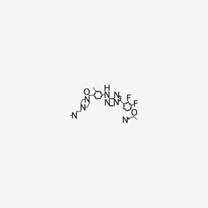 Cc1cc(Nc2nccn3c(-c4ccc(OC(C)C#N)c(F)c4F)cnc23)ccc1C(=O)N1CCN(CCN(C)C)CC1